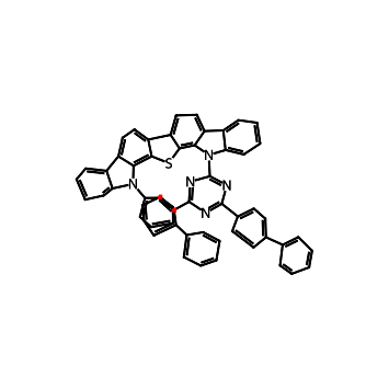 c1ccc(-c2ccc(-c3nc(-c4ccccc4-c4ccccc4)nc(-n4c5ccccc5c5ccc6c7ccc8c9ccccc9n(-c9ccccc9)c8c7sc6c54)n3)cc2)cc1